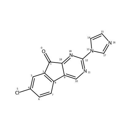 O=C1c2cc(Cl)ccc2-c2cnc(-n3ccnc3)nc21